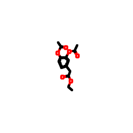 CCOC(=O)Cc1ccc(OC(C)=O)c(OC(C)=O)c1